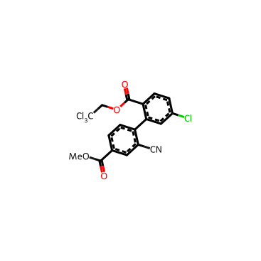 COC(=O)c1ccc(-c2cc(Cl)ccc2C(=O)OCC(Cl)(Cl)Cl)c(C#N)c1